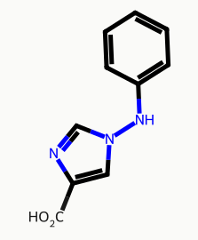 O=C(O)c1cn(Nc2ccccc2)cn1